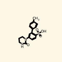 Cc1ccc(-c2cc(N3CCCNC3=O)ccc2S(=O)(=O)O)cc1